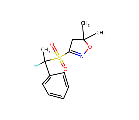 CC1(C)CC(S(=O)(=O)C(C)(F)c2ccccc2)=NO1